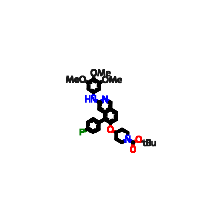 COc1cc(Nc2cc3c(-c4ccc(F)cc4)c(OC4CCN(C(=O)OC(C)(C)C)CC4)ccc3cn2)cc(OC)c1OC